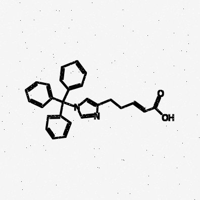 O=C(O)/C=C/CCc1cn(C(c2ccccc2)(c2ccccc2)c2ccccc2)cn1